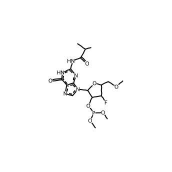 COCC1OC(n2cnc3c(=O)[nH]c(NC(=O)C(C)C)nc32)C(OP(OC)OC)C1F